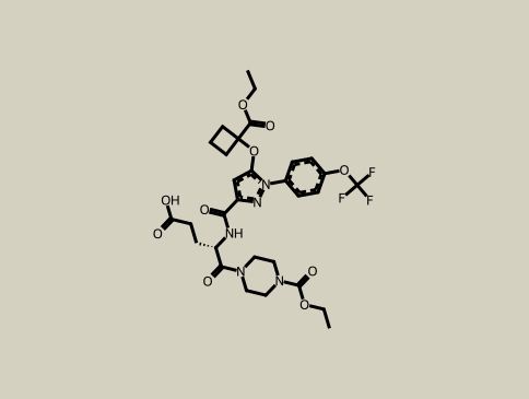 CCOC(=O)N1CCN(C(=O)[C@H](CCC(=O)O)NC(=O)c2cc(OC3(C(=O)OCC)CCC3)n(-c3ccc(OC(F)(F)F)cc3)n2)CC1